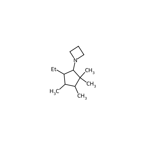 CCC1C(C)C(C)C(C)(C)C1N1CCC1